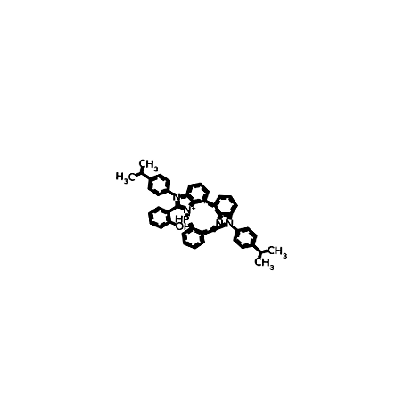 CC(C)c1ccc(-n2c(-c3ccccc3O)[n+]3[pH]c4ccccc4c4nc5c(cccc5n4-c4ccc(C(C)C)cc4)c4cccc2c43)cc1